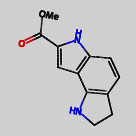 COC(=O)c1cc2c3c(ccc2[nH]1)CCN3